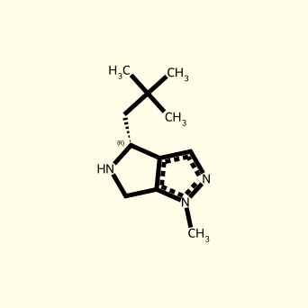 Cn1ncc2c1CN[C@@H]2CC(C)(C)C